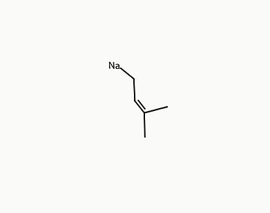 CC(C)=C[CH2][Na]